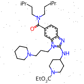 CCOC(=O)N1CCC(Nc2nc3ccc(C(=O)N(CCC(C)C)CCC(C)C)cc3n2CCCN2CCCCC2)CC1